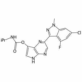 CC(C)NC(=O)Oc1c[nH]c2ncc(-c3nn(C)c4cc(Cl)cc(F)c34)nc12